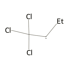 [CH2]C[CH]C(Cl)(Cl)Cl